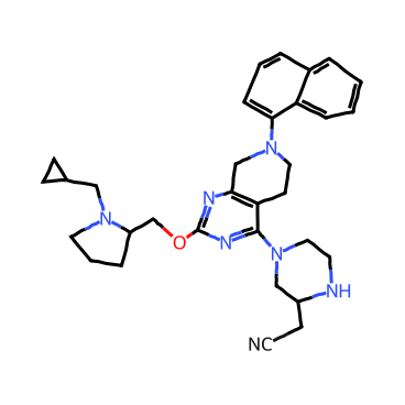 N#CCC1CN(c2nc(OCC3CCCN3CC3CC3)nc3c2CCN(c2cccc4ccccc24)C3)CCN1